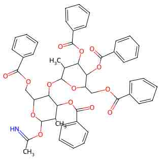 CC(=N)OC1OC(COC(=O)c2ccccc2)C(OC2OC(COC(=O)c3ccccc3)C(OC(=O)c3ccccc3)C(OC(=O)c3ccccc3)C2C)C(OC(=O)c2ccccc2)C1C